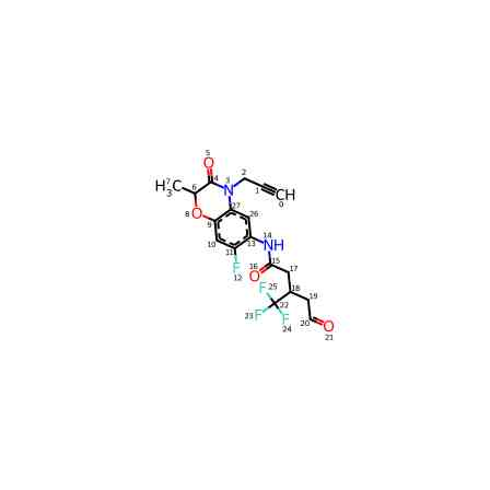 C#CCN1C(=O)C(C)Oc2cc(F)c(NC(=O)CC(CC=O)C(F)(F)F)cc21